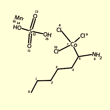 CCCCC[CH](N)[Co]([Cl])([Cl])[Cl].O=S(=O)(O)O.[Mn]